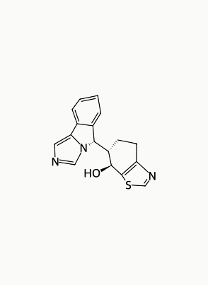 O[C@@H]1c2scnc2CC[C@H]1[C@H]1c2ccccc2-c2cncn21